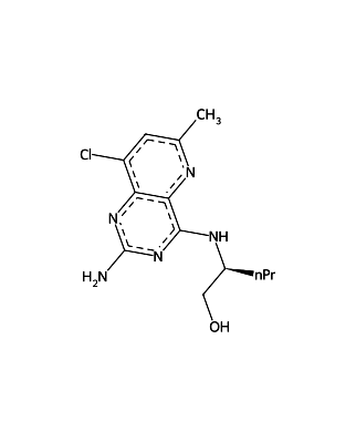 CCC[C@@H](CO)Nc1nc(N)nc2c(Cl)cc(C)nc12